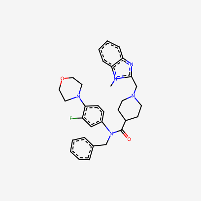 Cn1c(CN2CCC(C(=O)N(Cc3ccccc3)c3ccc(N4CCOCC4)c(F)c3)CC2)nc2ccccc21